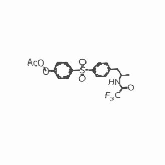 CC(=O)OOc1ccc(S(=O)(=O)c2ccc(C[C@@H](C)NC(=O)C(F)(F)F)cc2)cc1